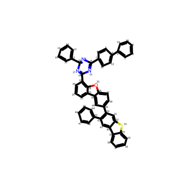 c1ccc(-c2ccc(-c3nc(-c4ccccc4)nc(-c4cccc5c4oc4ccc(-c6cc7sc8ccccc8c7cc6-c6ccccc6)cc45)n3)cc2)cc1